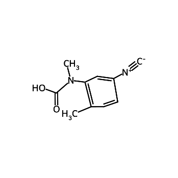 [C-]#[N+]c1ccc(C)c(N(C)C(=O)O)c1